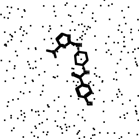 CN(C)c1ccnc(N[C@H]2CC[C@@H](NC(=O)c3ccc(C#N)cc3)CC2)n1